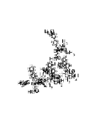 CCCCC(=O)N(Cc1ccc(-c2ccccc2-c2nnn[nH]2)cc1)[C@H](C(=O)O)C(C)C.CCCCC(=O)N(Cc1ccc(-c2ccccc2-c2nnn[nH]2)cc1)[C@H](C(=O)O)C(C)C.CCOC(=O)[C@H](C)C[C@@H](Cc1ccc(-c2ccccc2)cc1)NC(=O)CCC(=O)O.CCOC(=O)[C@H](C)C[C@@H](Cc1ccc(-c2ccccc2)cc1)NC(=O)CCC(=O)O.O.O.O.O.O